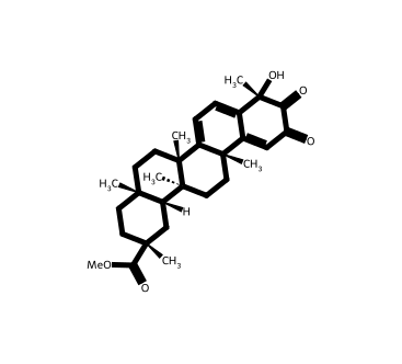 COC(=O)[C@]1(C)CC[C@]2(C)CC[C@]3(C)C4=CC=C5C(=CC(=O)C(=O)[C@@]5(C)O)[C@]4(C)CC[C@@]3(C)[C@@H]2C1